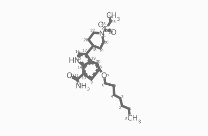 CCCCCCCOc1cc(C(N)=O)c2[nH]cc(C3CCN(S(=O)(=O)CC)CC3)c2c1